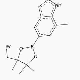 Cc1cc(B2OC(C)(C)C(C)(CC(C)C)O2)cc2cn[nH]c12